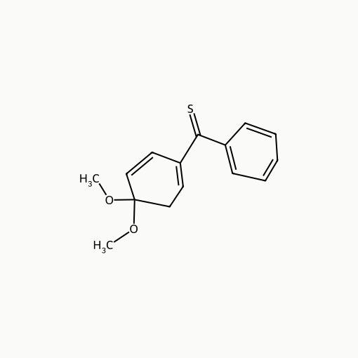 COC1(OC)C=CC(C(=S)c2ccccc2)=CC1